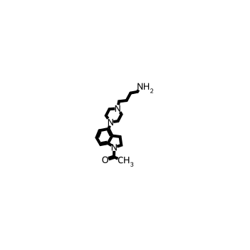 CC(=O)N1CCc2c(N3CCN(CCCCN)CC3)cccc21